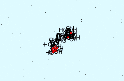 C=C1CC23CCC4C(C)(C(=O)OC5OC(CO)C(O)C(OC6OC(CO)C(O)C(O)C6O)C5OC5O[C@H](CO)C(O)C(O)C5O)CCCC4(C)C2CCC1(OC1OC(CO)C(O)C(OC2OC(CO)C(O)C(O)C2O)C1OC1OC(C)C(O)C(O)C1O)C3